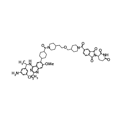 COc1cc2nc(C)nc(N[C@H](C)c3cc(N)cc(C(F)(F)F)c3)c2cc1C1CCC(C(=O)N2CCC(CCOCC3CCN(C(=O)c4ccc5c(c4)C(=O)N([C@@H]4CCC(=O)NC4=O)C5=O)CC3)CC2)CC1